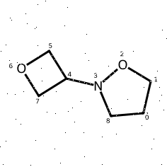 [CH]1CON(C2COC2)C1